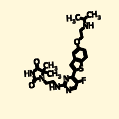 CC(C)NCCOc1ccc2sc(-c3nc(NCCN4C(=O)NC(=O)C4(C)C)ncc3F)cc2c1